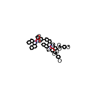 COc1ccc(C(=O)Oc2ccc(/C=C/c3ccc4ccccc4c3-c3c(/C=C/c4ccc(OC(=O)c5ccc(OC)cc5)cc4OC)ccc4ccc(-c5ccc(/C=C/c6ccc7ccccc7c6-c6c(/C=C/c7ccccc7OC)ccc7ccccc67)c(OC)c5)cc34)c(OC)c2)cc1